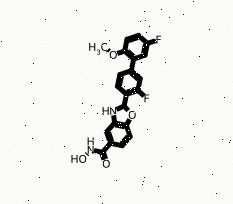 COc1ccc(F)cc1-c1ccc(C2Nc3cc(C(=O)NO)ccc3O2)c(F)c1